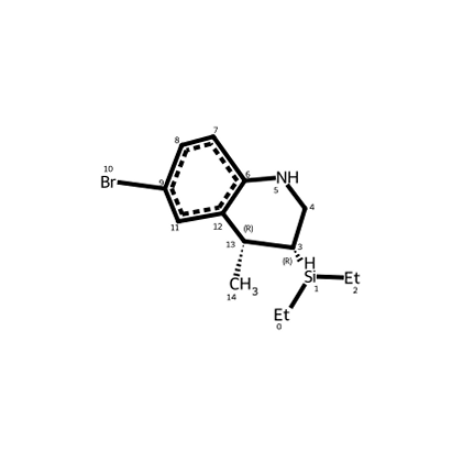 CC[SiH](CC)[C@H]1CNc2ccc(Br)cc2[C@H]1C